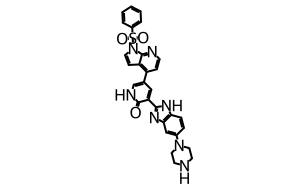 O=c1[nH]cc(-c2ccnc3c2ccn3S(=O)(=O)c2ccccc2)cc1-c1nc2cc(N3CCNCC3)ccc2[nH]1